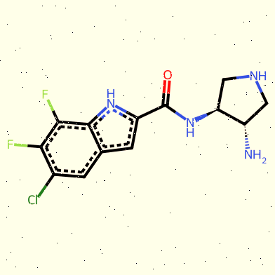 N[C@H]1CNC[C@@H]1NC(=O)c1cc2cc(Cl)c(F)c(F)c2[nH]1